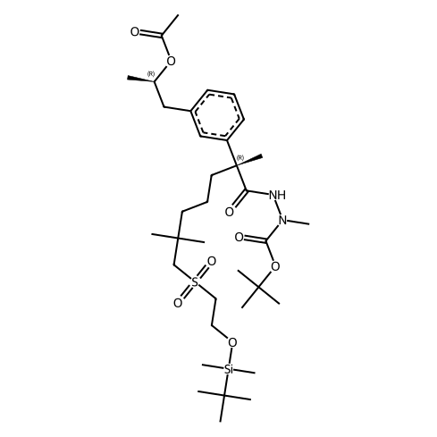 CC(=O)O[C@H](C)Cc1cccc([C@@](C)(CCCC(C)(C)CS(=O)(=O)CCO[Si](C)(C)C(C)(C)C)C(=O)NN(C)C(=O)OC(C)(C)C)c1